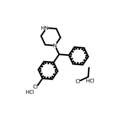 CCCl.Cl.Cl.Clc1ccc(C(c2ccccc2)N2CCNCC2)cc1